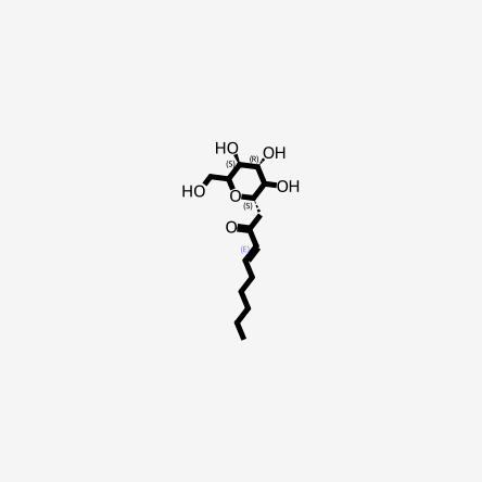 CCCCC/C=C/C(=O)C[C@@H]1OC(CO)[C@@H](O)[C@H](O)C1O